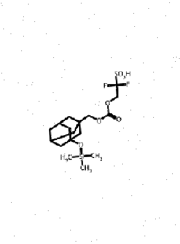 C[Si](C)(C)OC12CC3CC(CC(COC(=O)OCC(F)(F)S(=O)(=O)O)(C3)C1)C2